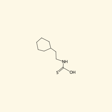 OC(=S)NCCC1CCCCC1